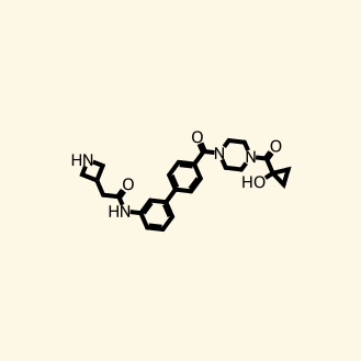 O=C(CC1CNC1)Nc1cccc(-c2ccc(C(=O)N3CCN(C(=O)C4(O)CC4)CC3)cc2)c1